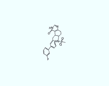 CS(=O)(=O)NC1CCc2nc[nH]c(=O)c2C1Cc1cccc(-c2cccc(F)c2)c1